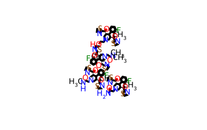 CNC(=O)CN1C[C@H](C(=O)c2nccs2)C(c2cccc(F)c2C)[C@@H](C(=O)c2nccs2)C1.Cc1c(F)cccc1C1[C@@H](C(=O)c2nccs2)CN(CC(=O)N(C)C)C[C@@H]1C(=O)c1nccs1.Cc1c(F)cccc1C1[C@@H](C(=O)c2nccs2)CN(CC(N)=O)C[C@@H]1C(=O)c1nccs1.Cc1c(F)cccc1C1[C@@H](C(=O)c2nccs2)CN(CCO)C[C@@H]1C(=O)c1nccs1